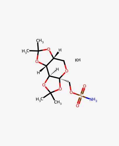 CC1(C)O[C@@H]2[C@@H](CO[C@@]3(COS(N)(=O)=O)OC(C)(C)O[C@@H]23)O1.[KH]